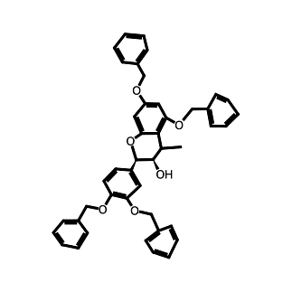 CC1c2c(OCc3ccccc3)cc(OCc3ccccc3)cc2O[C@H](c2ccc(OCc3ccccc3)c(OCc3ccccc3)c2)[C@@H]1O